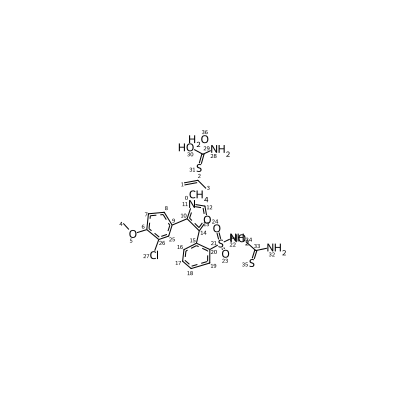 C.C=CC.COc1ccc(-c2ncoc2-c2ccccc2S(N)(=O)=O)cc1Cl.NC(O)=S.NC(O)=S.O